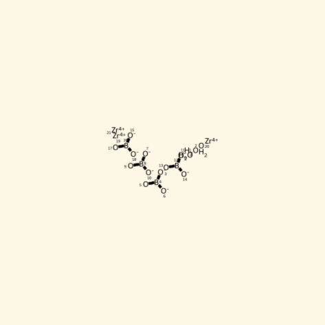 O.O.O.[O-]B([O-])[O-].[O-]B([O-])[O-].[O-]B([O-])[O-].[O-]B([O-])[O-].[Zr+4].[Zr+4].[Zr+4]